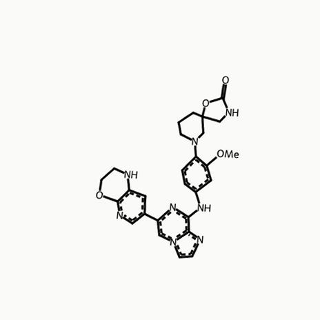 COc1cc(Nc2nc(-c3cnc4c(c3)NCCO4)cn3ccnc23)ccc1N1CCCC2(CNC(=O)O2)C1